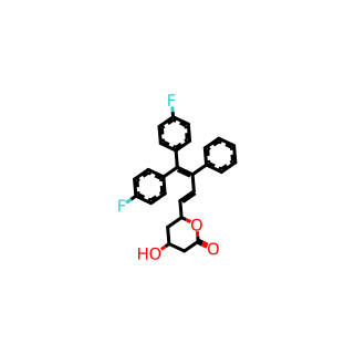 O=C1CC(O)CC(C=CC(=C(c2ccc(F)cc2)c2ccc(F)cc2)c2ccccc2)O1